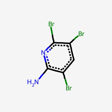 Nc1nc(Br)c(Br)cc1Br